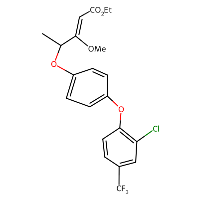 CCOC(=O)/C=C(\OC)C(C)Oc1ccc(Oc2ccc(C(F)(F)F)cc2Cl)cc1